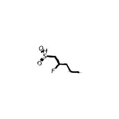 [CH2][CH]CC(F)C[SH](=O)=O